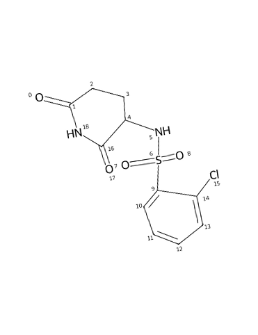 O=C1CCC(NS(=O)(=O)c2ccccc2Cl)C(=O)N1